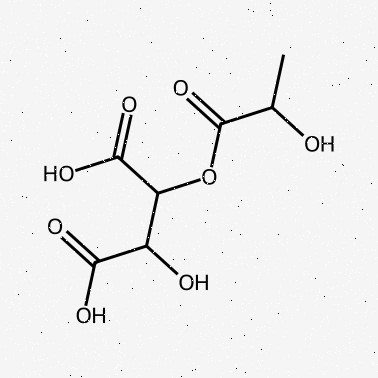 CC(O)C(=O)OC(C(=O)O)C(O)C(=O)O